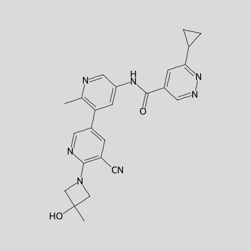 Cc1ncc(NC(=O)c2cnnc(C3CC3)c2)cc1-c1cnc(N2CC(C)(O)C2)c(C#N)c1